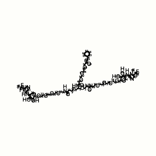 O=C(CCOCC(COCCC(=O)NCCOCCOCCOCCOC[C@H]1OC[C@H](Nc2cncc(C(F)(F)F)n2)[C@@H](O)[C@H]1O)NC(=O)COCCOCCOCC(=O)OCc1ccccc1)NCCOCCOCCOCCOCC1OC[C@H](Nc2cncc(C(F)(F)F)n2)[C@@H](O)[C@H]1O